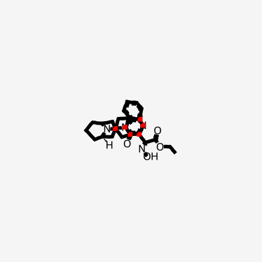 CCOC(=O)/C(=N\O)c1nc2ccccc2n(C2CC3CCC[C@H](C2)N3C2CC3CCCC(C3)C2)c1=O